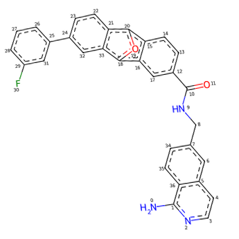 Nc1nccc2cc(CNC(=O)c3ccc4c(c3)c3oc4c4ccc(-c5cccc(F)c5)cc43)ccc12